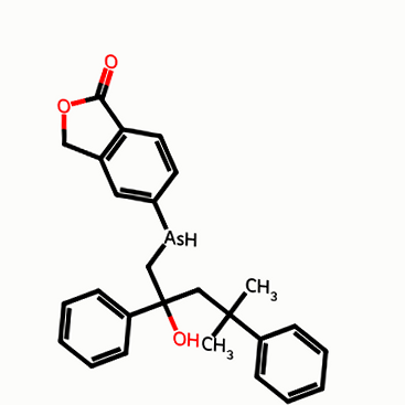 CC(C)(CC(O)(C[AsH]c1ccc2c(c1)COC2=O)c1ccccc1)c1ccccc1